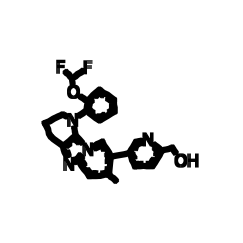 Cc1cc2nc3c(n2cc1-c1ccc(CO)nc1)N(c1ccccc1OC(F)F)CCC3